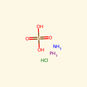 Cl.N.O=S(=O)(O)O.P